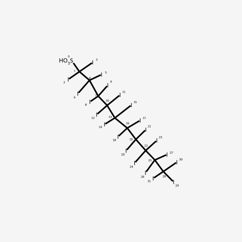 O=S(=O)(O)C(I)(I)C(I)(I)C(I)(I)C(I)(I)C(I)(I)C(I)(I)C(I)(I)C(I)(I)C(I)(I)C(I)(I)I